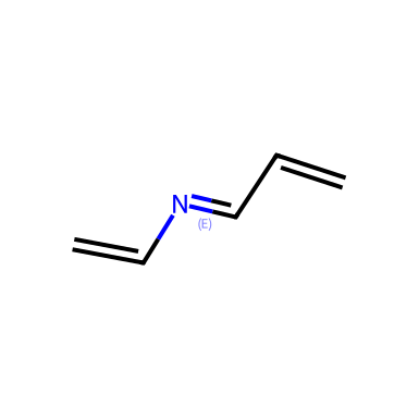 C=C/C=N/C=C